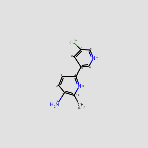 Nc1ccc(-c2cncc(Cl)c2)nc1C(F)(F)F